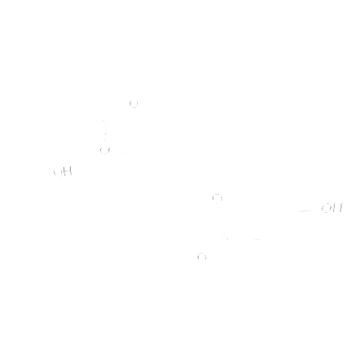 CC(=CO)C(=O)OCCOC(=O)C(C)=CO